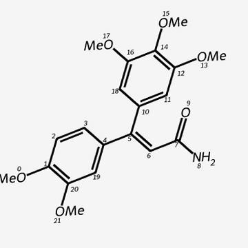 COc1ccc(C(=CC(N)=O)c2cc(OC)c(OC)c(OC)c2)cc1OC